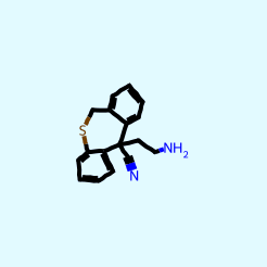 N#CC1(CCN)c2ccccc2CSc2ccccc21